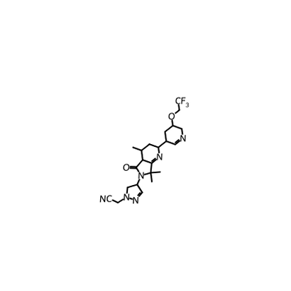 CC1CC(C2C=NCC(OCC(F)(F)F)C2)N=C2C1C(=O)N(C1C=NN(CC#N)C1)C2(C)C